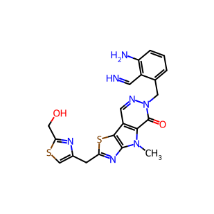 Cn1c2nc(Cc3csc(CO)n3)sc2c2cnn(Cc3cccc(N)c3C=N)c(=O)c21